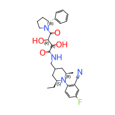 CC[C@H]1CC(CNC(=O)[C@H](O)[C@@H](O)C(=O)N2CCC[C@@H]2c2ccccc2)C[C@@H](C)N1c1ccc(F)cc1C#N